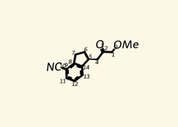 COCC(=O)C[C@@H]1CCc2c(C#N)cccc21